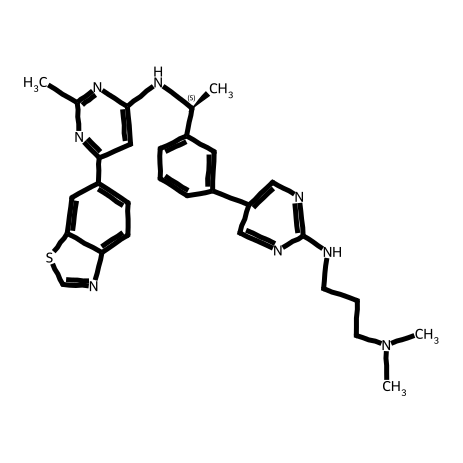 Cc1nc(N[C@@H](C)c2cccc(-c3cnc(NCCCN(C)C)nc3)c2)cc(-c2ccc3ncsc3c2)n1